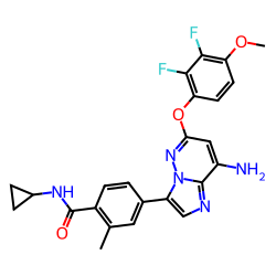 COc1ccc(Oc2cc(N)c3ncc(-c4ccc(C(=O)NC5CC5)c(C)c4)n3n2)c(F)c1F